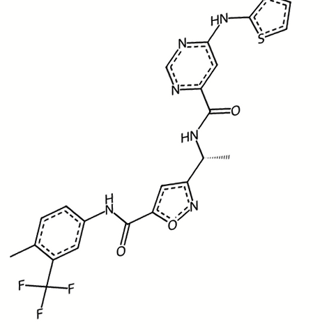 Cc1ccc(NC(=O)c2cc([C@@H](C)NC(=O)c3cc(Nc4nccs4)ncn3)no2)cc1C(F)(F)F